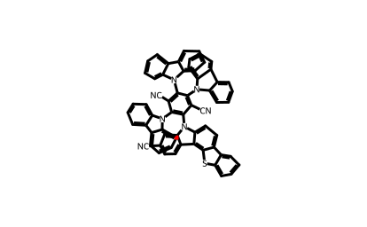 N#Cc1ccc2c3c4sc5ccccc5c4ccc3n(-c3c(C#N)c(-n4c5ccccc5c5ccccc54)c(-n4c5ccccc5c5ccccc54)c(C#N)c3-n3c4ccccc4c4ccccc43)c2c1